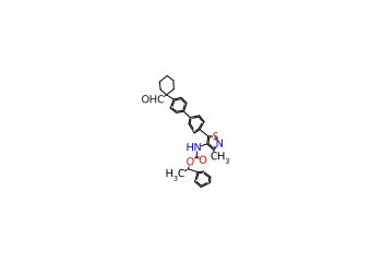 Cc1nsc(-c2ccc(-c3ccc(C4(C=O)CCCCC4)cc3)cc2)c1NC(=O)O[C@H](C)c1ccccc1